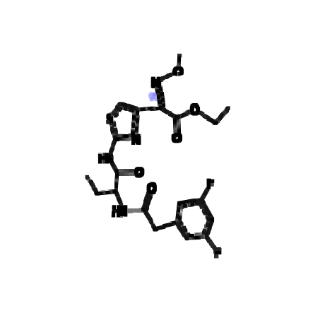 CCOC(=O)/C(=N\OC)c1csc(NC(=O)C(CC)NC(=O)Cc2cc(F)cc(F)c2)n1